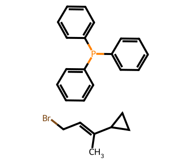 C/C(=C\CBr)C1CC1.c1ccc(P(c2ccccc2)c2ccccc2)cc1